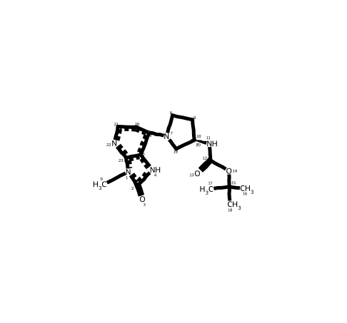 Cn1c(=O)[nH]c2c(N3CC[C@@H](NC(=O)OC(C)(C)C)C3)ccnc21